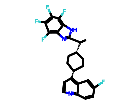 CC(c1nc2c(F)c(F)c(F)c(F)c2[nH]1)[C@H]1CC[C@@H](c2ccnc3ccc(F)cc32)CC1